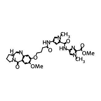 COC(=O)c1nc(NC(=O)c2cc(NC(=O)CCCOc3cc4c(cc3OC)C(=O)N3CCC[C@H]3C=N4)cn2C)cn1C